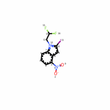 O=[N+]([O-])c1cccc2c1cc(I)n2CC(F)F